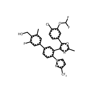 Cc1nc(-c2cc(-c3cc(C)c(CO)c(F)c3)ccc2-n2ccc(C(F)(F)F)n2)c(-c2ccc(Cl)c(OC(F)F)c2)o1